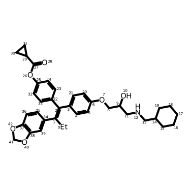 CCC(=C(c1ccc(OCC(O)CNCC2CCCCC2)cc1)c1ccc(OC(=O)C2CC2)cc1)c1ccc2c(c1)OCO2